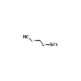 CS[CH]CCO